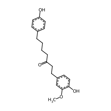 COc1cc(CCC(=O)CCCCc2ccc(O)cc2)ccc1O